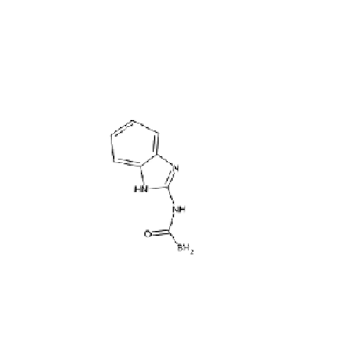 BC(=O)Nc1nc2ccccc2[nH]1